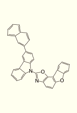 c1ccc2cc(-c3ccc4c(c3)c3ccccc3n4-c3nc4ccc5oc6ccccc6c5c4o3)ccc2c1